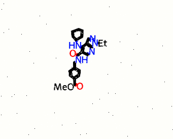 CCn1ncc2c(NC3CCCCC3)c(C(=O)NCc3ccc(C(=O)OC)cc3)cnc21